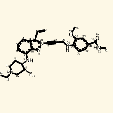 C=Cc1c2cccc(N[C@@H]3CCN(CC)C[C@@H]3F)c2nn1C#CCNc1ccc(C(=O)NC)cc1OC